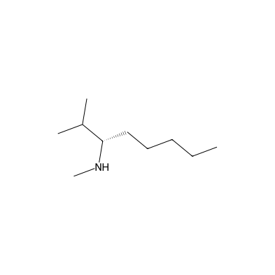 CCCCC[C@H](NC)C(C)C